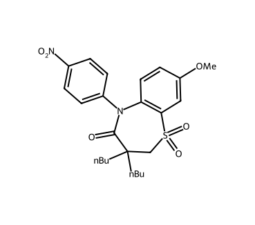 CCCCC1(CCCC)CS(=O)(=O)c2cc(OC)ccc2N(c2ccc([N+](=O)[O-])cc2)C1=O